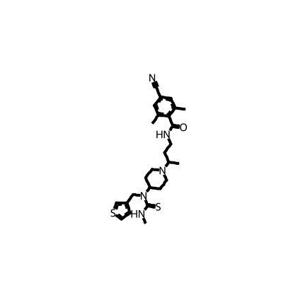 CNC(=S)N(Cc1ccsc1)C1CCN(C(C)CCNC(=O)c2c(C)cc(C#N)cc2C)CC1